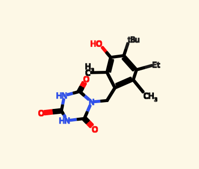 CCc1c(C)c(Cn2c(=O)[nH]c(=O)[nH]c2=O)c(C)c(O)c1C(C)(C)C